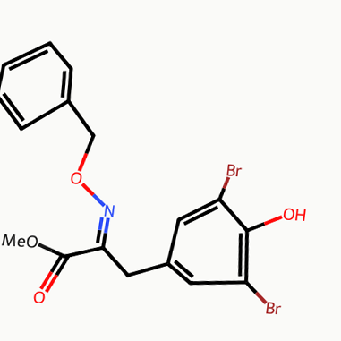 COC(=O)C(Cc1cc(Br)c(O)c(Br)c1)=NOCc1ccccc1